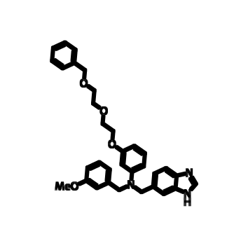 COc1cccc(CN(Cc2ccc3nc[nH]c3c2)c2cccc(OCCOCCOCc3ccccc3)c2)c1